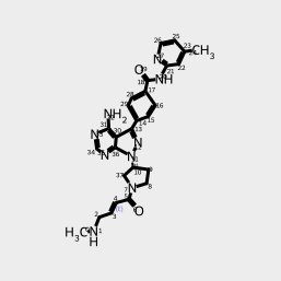 CNC/C=C/C(=O)N1CC[C@@H](n2nc(-c3ccc(C(=O)Nc4cc(C)ccn4)cc3)c3c(N)ncnc32)C1